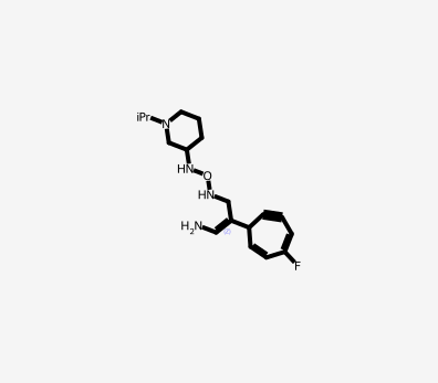 CC(C)N1CCCC(NONC/C(=C\N)C2C#CC=C(F)C=C2)C1